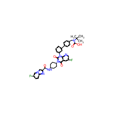 CC(C)(C)N(Cc1ccc(-c2cccc(-n3c(=O)n(C4CCC(NC(=O)c5cn6cc(F)ccc6n5)CC4)c(=O)c4cc(F)cnc43)c2)cc1)C(=O)O